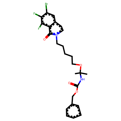 CC(C)(NC(=O)OCc1ccccc1)OCCCCCn1ccc2cc(Br)c(F)c(F)c2c1=O